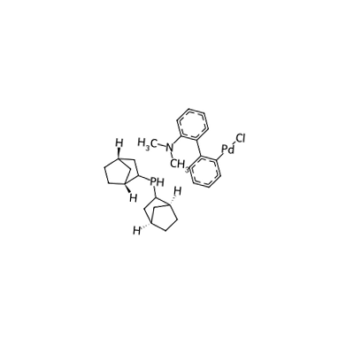 C1C[C@@H]2C[C@H]1CC2PC1C[C@@H]2CC[C@H]1C2.CN(C)c1ccccc1-c1cccc[c]1[Pd][Cl]